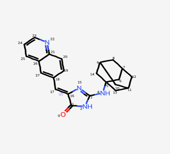 O=C1NC(NC23CC4CC(CC(C4)C2)C3)=N/C1=C\c1ccc2ncccc2c1